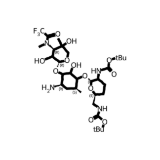 C[C@H]1C[C@@H](N)C(O[C@H]2OCC(C)(O)[C@H](N(C)C(=O)C(F)(F)F)C2O)C(O)C1O[C@H]1O[C@H](CNC(=O)OC(C)(C)C)CCC1NC(=O)OC(C)(C)C